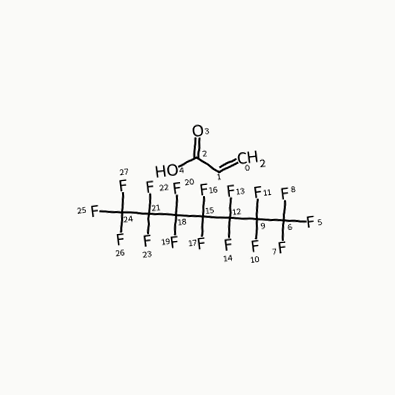 C=CC(=O)O.FC(F)(F)C(F)(F)C(F)(F)C(F)(F)C(F)(F)C(F)(F)C(F)(F)F